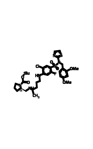 COc1ccc(CN(c2nccs2)S(=O)(=O)c2cc(Cl)c(NCCCC(C)NC[C@@H]3CCCN3C(=O)OC(C)(C)C)cc2F)c(OC)c1